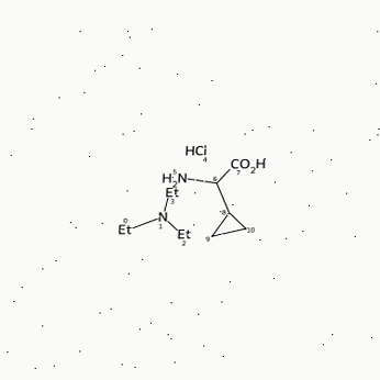 CCN(CC)CC.Cl.NC(C(=O)O)C1CC1